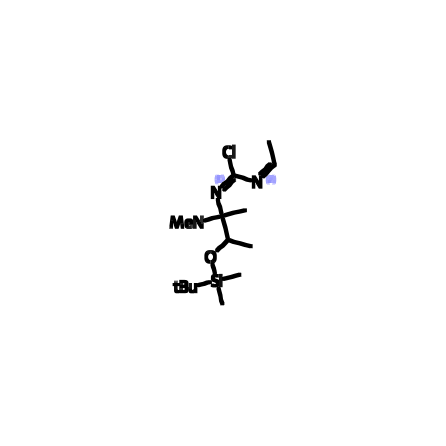 C/C=N\C(Cl)=N/C(C)(NC)C(C)O[Si](C)(C)C(C)(C)C